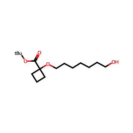 CC(C)(C)OC(=O)C1(OCCCCCCCO)CCC1